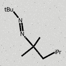 CC(C)CC(C)(C)/N=N/C(C)(C)C